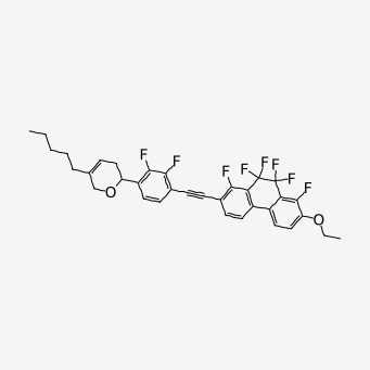 CCCCCC1=CCC(c2ccc(C#Cc3ccc4c(c3F)C(F)(F)C(F)(F)c3c-4ccc(OCC)c3F)c(F)c2F)OC1